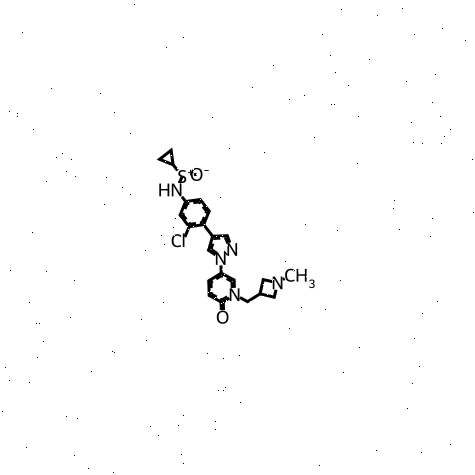 CN1CC(Cn2cc(-n3cc(-c4ccc(N[S+]([O-])C5CC5)cc4Cl)cn3)ccc2=O)C1